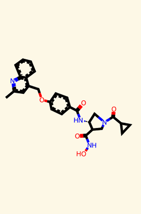 Cc1cc(COc2ccc(C(=O)N[C@@H]3CN(C(=O)C4CC4)CC3C(=O)NO)cc2)c2ccccc2n1